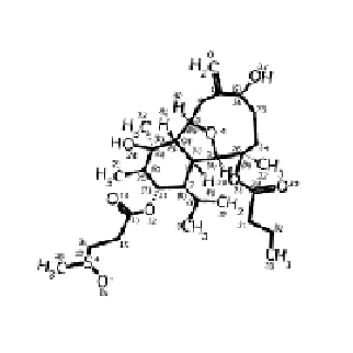 C=C1C[C@H]2O[C@H]([C@@H]3[C@@H](C(C)C)[C@H](OC(=O)CC[S+](C)[O-])[C@@H](C)[C@@](C)(O)[C@@H]32)[C@](C)(OC(=O)CCC)CC[C@@H]1O